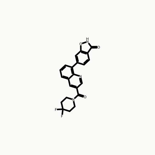 O=C(c1cnc2c(-c3ccc4c(=O)[nH]oc4c3)cccc2c1)N1CCC(F)(F)CC1